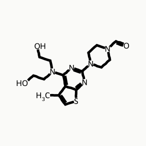 Cc1csc2nc(N3CCN(C=O)CC3)nc(N(CCO)CCO)c12